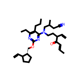 C=CC(CCN(CC(C)CC#N)c1nc(OC[C@@H]2CCCC2C=C)nc(CC)c1CCC)C(=O)/C=C/C